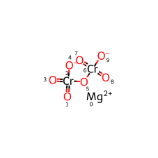 [Mg+2].[O]=[Cr](=[O])([O-])[O][Cr](=[O])(=[O])[O-]